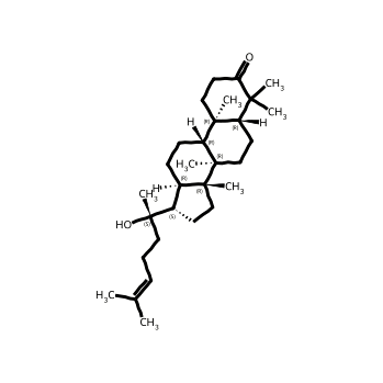 CC(C)=CCC[C@](C)(O)[C@H]1CC[C@]2(C)[C@@H]1CC[C@@H]1[C@@]3(C)CCC(=O)C(C)(C)[C@@H]3CC[C@]12C